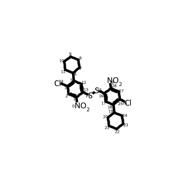 O=[N+]([O-])c1cc(Cl)c(C2CCCCC2)cc1SSc1cc(C2CCCCC2)c(Cl)cc1[N+](=O)[O-]